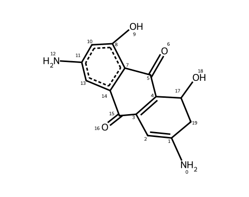 NC1=CC2=C(C(=O)c3c(O)cc(N)cc3C2=O)C(O)C1